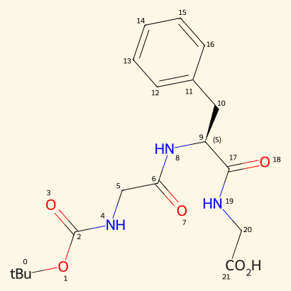 CC(C)(C)OC(=O)NCC(=O)N[C@@H](Cc1ccccc1)C(=O)NCC(=O)O